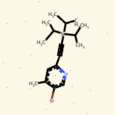 Cc1cc(C#C[Si](C(C)C)(C(C)C)C(C)C)ncc1Br